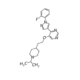 CC(C)N1CCC(CCOc2cncnc2-c2cnn(-c3ccccc3F)c2)CC1